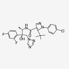 C[C@@H](NC(=O)c1cnn(-c2ccc(Cl)cc2)c1C(C)(C)C)[C@](O)(Cn1cncn1)c1ccc(F)cc1F